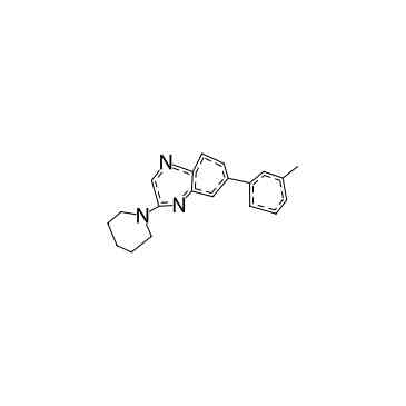 Cc1cccc(-c2ccc3ncc(N4CCCCC4)nc3c2)c1